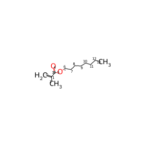 C=C(C)C(=O)O[CH]CCCCCCC